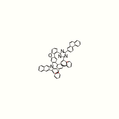 c1ccc(-c2cc(-c3ccccc3)cc(-c3cc4c(cc3-n3c5ccccc5c5cc6ccccc6cc53)oc3cccc(-c5nc(-c6ccccc6)nc(-c6ccc7c(ccc8ccccc87)c6)n5)c34)c2)cc1